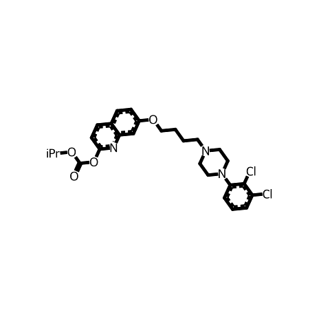 CC(C)OC(=O)Oc1ccc2ccc(OCCCCN3CCN(c4cccc(Cl)c4Cl)CC3)cc2n1